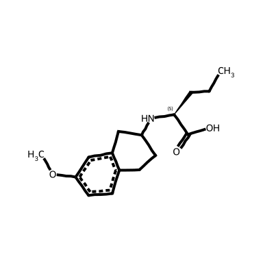 CCC[C@H](NC1CCc2ccc(OC)cc2C1)C(=O)O